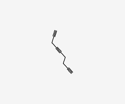 C#CCC#CCCC#C